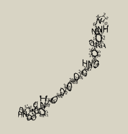 C[C@H]1CCCN1Cc1nc2cc(NC(=O)c3ccc(C(=O)NCCOCCOCCOCCOCCOCCNc4cccc5c4C(=O)N(C4CCC(=O)NC4=O)C5=O)cc3)ccc2[nH]1